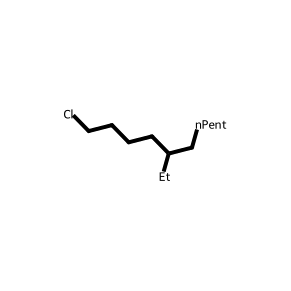 CCCCCCC(CC)CCCCCl